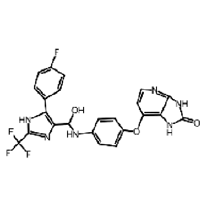 O=c1[nH]c2nccc(Oc3ccc(NC(O)c4nc(C(F)(F)F)[nH]c4-c4ccc(F)cc4)cc3)c2[nH]1